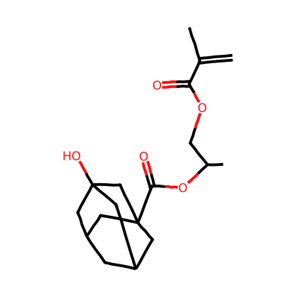 C=C(C)C(=O)OCC(C)OC(=O)C12CC3CC(CC(O)(C3)C1)C2